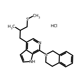 CSCC(C)Cc1cnc(N2CCc3ccccc3C2)c2[nH]ccc12.Cl